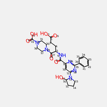 O=C(O)CCC(NC(=O)c1cc(N2CCCC2O)nc(-c2ccccc2)n1)C(=O)N1CCN(C(=O)O)CC1